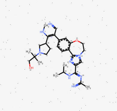 CN/C(=C(\C=N)c1ccc2c(c1)OCCn1cc(/C(=N/C(C)=N)NC(C)C)nc1-2)C1CCN(C(C)(C)CO)C1